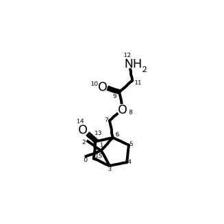 CC1(C)C2CCC1(COC(=O)CN)C(=O)C2